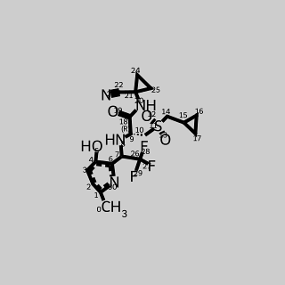 Cc1ccc(O)c(C(N[C@@H](CS(=O)(=O)CC2CC2)C(=O)NC2(C#N)CC2)C(F)(F)F)n1